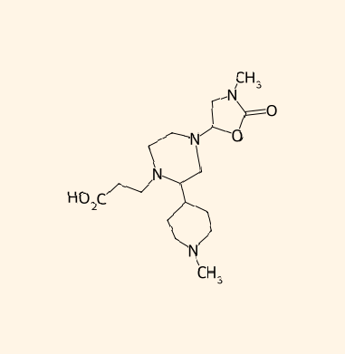 CN1CCC(C2CN(C3CN(C)C(=O)O3)CCN2CCC(=O)O)CC1